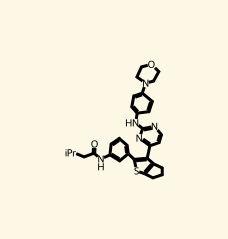 CC(C)CC(=O)Nc1cccc(-c2sc3c(c2-c2ccnc(Nc4ccc(N5CCOCC5)cc4)n2)CCC3)c1